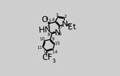 CCn1ccc2c(=O)[nH]c(-c3ccc(C(F)(F)F)cc3)nc21